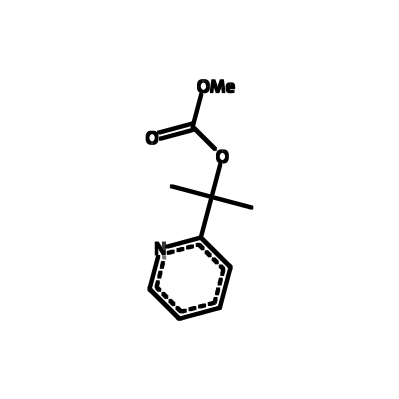 COC(=O)OC(C)(C)c1ccccn1